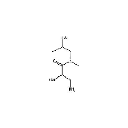 CCCCC(CC)CN(C)C(=O)C(CN)C(C)(C)C